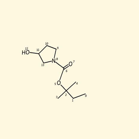 CCC(C)(C)OC(=O)N1CCC(O)C1